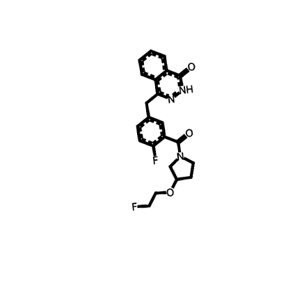 O=C(c1cc(Cc2n[nH]c(=O)c3ccccc23)ccc1F)N1CCC(OCCF)C1